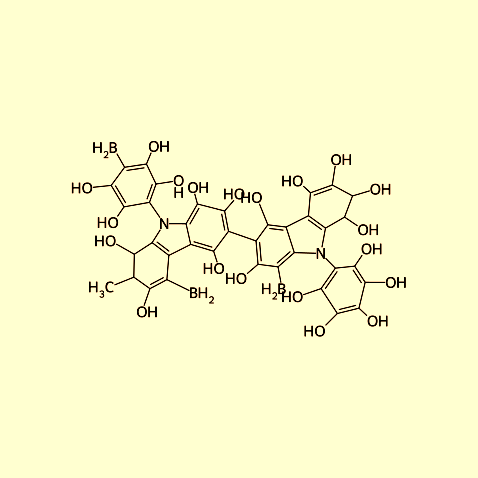 BC1=C(O)C(C)C(O)c2c1c1c(O)c(-c3c(O)c(B)c4c(c3O)c3c(n4-c4c(O)c(O)c(O)c(O)c4O)C(O)C(O)C(O)=C3O)c(O)c(O)c1n2-c1c(O)c(O)c(B)c(O)c1O